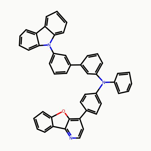 c1ccc(N(c2ccc(-c3ccnc4c3oc3ccccc34)cc2)c2cccc(-c3cccc(-n4c5ccccc5c5ccccc54)c3)c2)cc1